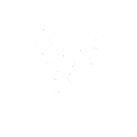 Cc1ccc(C)n1-c1ccc(-c2cc(C(F)(F)F)nn2-c2ccc(S(N)(=O)=O)cc2)cc1